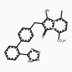 CCCc1c(Cc2ccc(-c3ccccc3-c3nnn[nH]3)cc2)c(=O)n2c(C(=O)O)ccc(C)n12